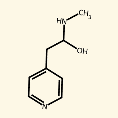 CNC(O)Cc1ccncc1